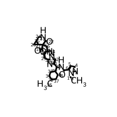 CCn1nccc1C(=O)N[C@H](c1cn2nc(CC3(C(=O)O)C(=O)NCC4CC43)ccc2n1)C1CCC(C)CC1